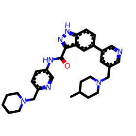 CC1CCN(Cc2cncc(-c3ccc4[nH]nc(C(=O)Nc5ccc(CN6CCCCC6)nc5)c4c3)c2)CC1